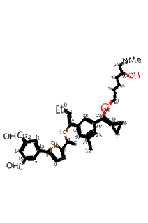 CC/C=C(\SC(C)c1ccc(-c2cc(C=O)cc(C=O)c2)s1)c1cc(C)cc(C(OCCCCC(O)CNC)=C2CC2)c1